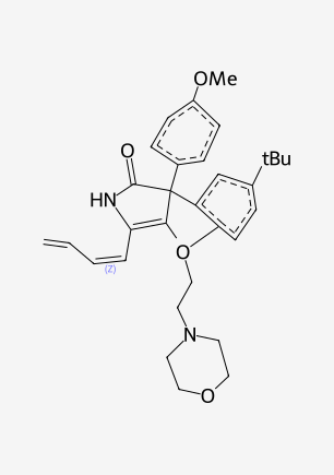 C=C/C=C\C1=C(C)C(c2ccc(OC)cc2)(c2cc(C(C)(C)C)ccc2OCCN2CCOCC2)C(=O)N1